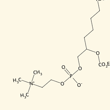 CCCCCCCCCCCCCCC(COP(=O)([O-])OCC[N+](C)(C)C)OC(=O)OCC